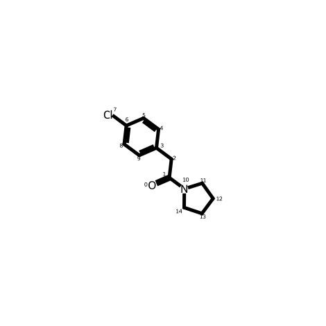 O=C(Cc1ccc(Cl)cc1)N1CCCC1